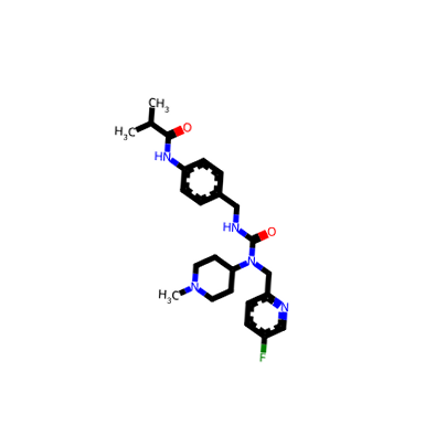 CC(C)C(=O)Nc1ccc(CNC(=O)N(Cc2ccc(F)cn2)C2CCN(C)CC2)cc1